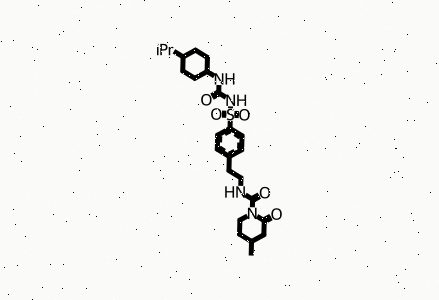 CC1CCN(C(=O)NCCc2ccc(S(=O)(=O)NC(=O)NC3CCC(C(C)C)CC3)cc2)C(=O)C1